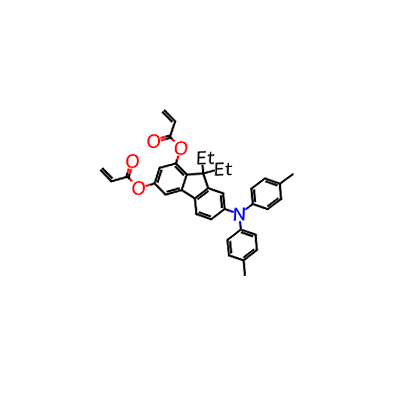 C=CC(=O)Oc1cc(OC(=O)C=C)c2c(c1)-c1ccc(N(c3ccc(C)cc3)c3ccc(C)cc3)cc1C2(CC)CC